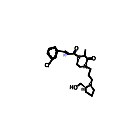 CC1C(=O)N(CCCN2CCC[C@H]2CO)CCN1C(=O)/C=C/c1cccc(Cl)c1